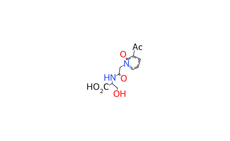 CC(=O)c1cccn(CC(=O)NC(CO)C(=O)O)c1=O